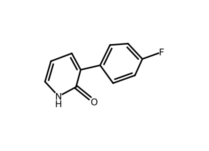 O=c1[nH]cccc1-c1ccc(F)cc1